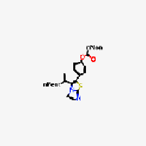 CCCCCCCCCC(=O)Oc1ccc(-c2sc3nccn3c2C(C)CCCCC)cc1